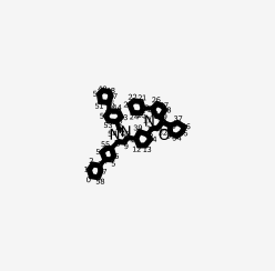 c1ccc(-c2ccc(-c3cc(-c4cccc(-c5nc6c(-c7ccccc7)cccc6c6c5oc5ccccc56)c4)nc(-c4ccc(-c5ccccc5)cc4)n3)cc2)cc1